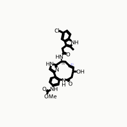 COC(=O)Nc1ccc2c(c1)NC(=O)CC(O)/C=C/C[C@H](NC(=O)Cc1c(C)[nH]c3ccc(Cl)cc13)c1nc-2c[nH]1